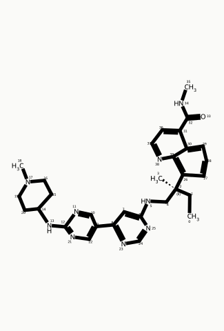 CC[C@@](C)(CNc1cc(-c2cnc(NC3CCN(C)CC3)nc2)ncn1)c1cccc2c(C(=O)NC)ccnc12